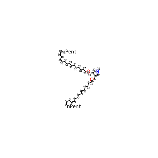 CCCCC/C=C\C/C=C\CCCCCCCCCCOC[C@@H]1CN(C)C[C@H]1COCCCCCCCCCC/C=C\C/C=C\CCCCC